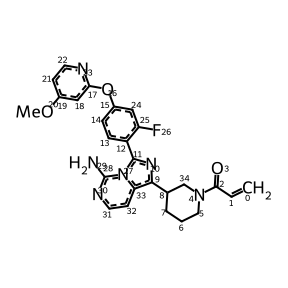 C=CC(=O)N1CCCC(c2nc(-c3ccc(Oc4cc(OC)ccn4)cc3F)n3c(N)nccc23)C1